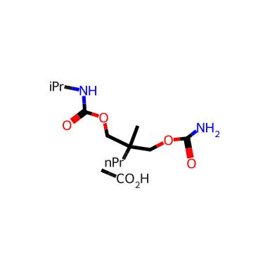 CC(=O)O.CCCC(C)(COC(N)=O)COC(=O)NC(C)C